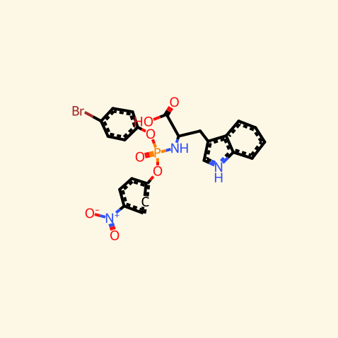 O=C(O)C(Cc1c[nH]c2ccccc12)NP(=O)(Oc1ccc(Br)cc1)Oc1ccc([N+](=O)[O-])cc1